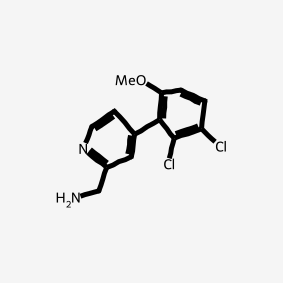 COc1ccc(Cl)c(Cl)c1-c1ccnc(CN)c1